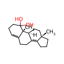 C[C@@]12CCCC1=C1CCC3=CCCC(O)(O)[C@]3(C)[C@H]1CC2